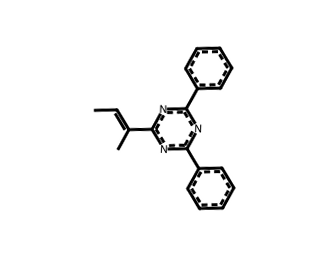 C/C=C(\C)c1nc(-c2ccccc2)nc(-c2ccccc2)n1